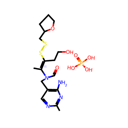 C/C(=C(/CCO)SSCC1CCCO1)N(C=O)Cc1cnc(C)nc1N.O=P(O)(O)O